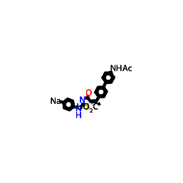 CC(=O)Nc1ccc(-c2ccc(/C=C3/SC(Nc4cc[c]([Na])cc4)=NC3=O)cc2)cc1.CC(=O)O